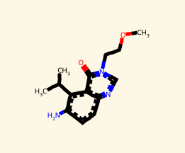 COCCn1cnc2ccc(N)c(C(C)C)c2c1=O